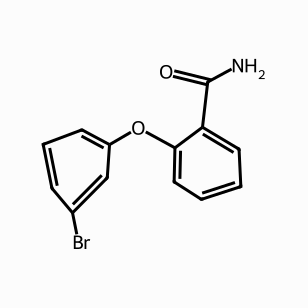 NC(=O)c1ccccc1Oc1cccc(Br)c1